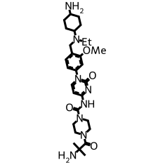 CCN(Cc1ccc(-n2ccc(NC(=O)N3CCN(C(=O)C(C)(C)N)CC3)nc2=O)cc1OC)C1CCC(N)CC1